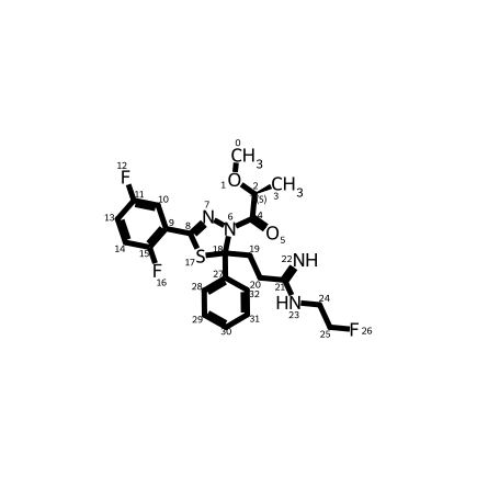 CO[C@@H](C)C(=O)N1N=C(c2cc(F)ccc2F)SC1(CCC(=N)NCCF)c1ccccc1